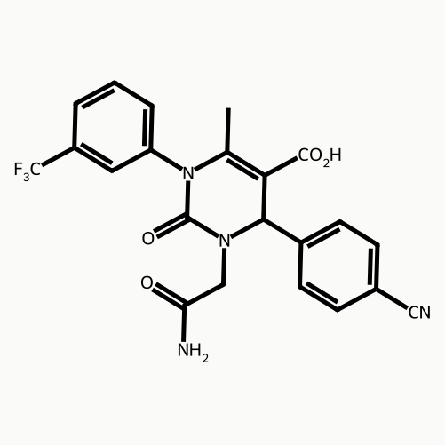 CC1=C(C(=O)O)C(c2ccc(C#N)cc2)N(CC(N)=O)C(=O)N1c1cccc(C(F)(F)F)c1